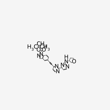 CC(C)(C)OC(=O)n1ncc2cc(C#Cc3ccnc(-c4ccnc(N[C@@H]5CCOC5)n4)n3)ccc21